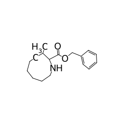 CC1CCCCCCNC1C(=O)OCc1ccccc1